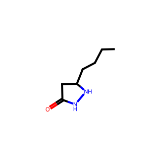 CCCC[C]1CC(=O)NN1